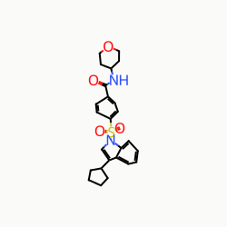 O=C(NC1CCOCC1)c1ccc(S(=O)(=O)n2cc(C3CCCC3)c3ccccc32)cc1